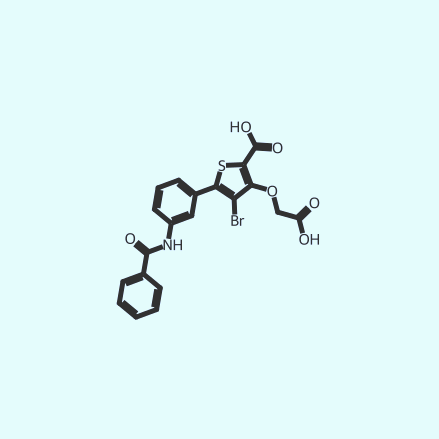 O=C(O)COc1c(C(=O)O)sc(-c2cccc(NC(=O)c3ccccc3)c2)c1Br